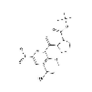 COc1c(C(N)=O)cc([N+](=O)[O-])cc1C(=O)[C@@H]1CCCN1C(=O)OC(C)(C)C